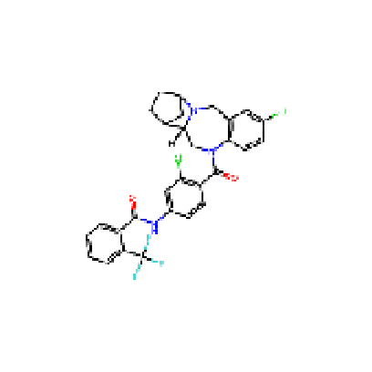 O=C(Nc1ccc(C(=O)N2C[C@@H]3C4CCC(C4)N3Cc3cc(Cl)ccc32)c(Cl)c1)c1ccccc1C(F)(F)F